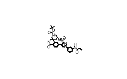 C=CC(=O)Nc1cccc(-n2cc(-c3ccc4c(c3)C3(CCCN(C(=O)OC(C)(C)C)C3)CNC4=O)c([N+](=O)[O-])n2)c1